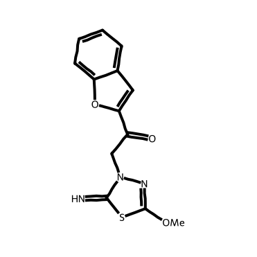 COc1nn(CC(=O)c2cc3ccccc3o2)c(=N)s1